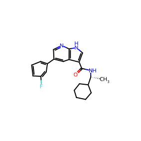 C[C@@H](NC(=O)c1c[nH]c2ncc(-c3cccc(F)c3)cc12)C1CCCCC1